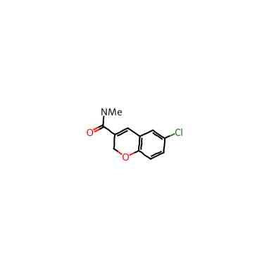 CNC(=O)C1=Cc2cc(Cl)ccc2OC1